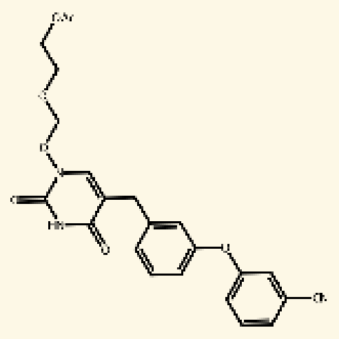 CC(=O)OCCOCOn1cc(Cc2cccc(Oc3cccc(C#N)c3)c2)c(=O)[nH]c1=O